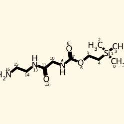 C[Si](C)(C)CCOC(=O)NCC(=O)NCCN